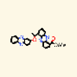 COC(=O)c1cccc2nc3c(C(C)Oc4ccc5nc6ccccc6nc5c4)cccc3nc12